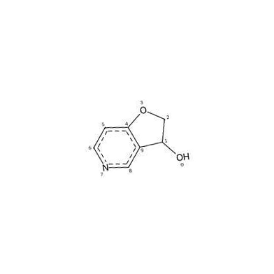 OC1COc2ccncc21